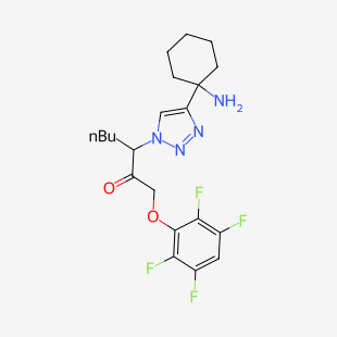 CCCCC(C(=O)COc1c(F)c(F)cc(F)c1F)n1cc(C2(N)CCCCC2)nn1